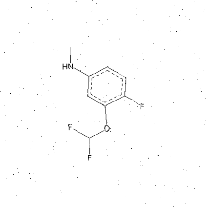 CNc1ccc(F)c(OC(F)F)c1